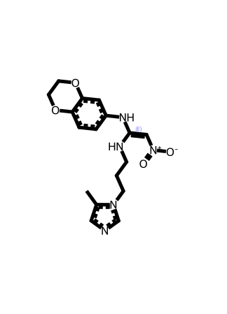 Cc1cncn1CCCN/C(=C\[N+](=O)[O-])Nc1ccc2c(c1)OCCO2